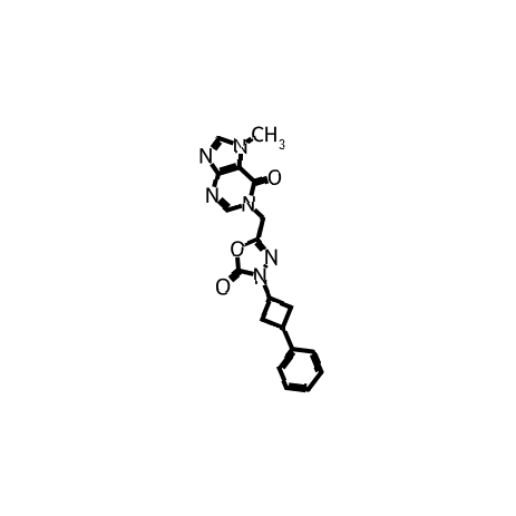 Cn1cnc2ncn(Cc3nn(C4CC(c5ccccc5)C4)c(=O)o3)c(=O)c21